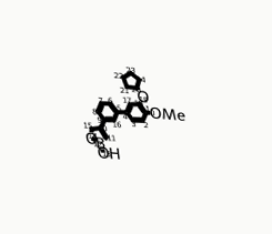 COc1ccc(-c2cccc(C3=CB(O)OC3)c2)cc1OC1CCCC1